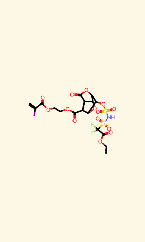 C=C(I)C(=O)OCCOC(=O)C1C2OC3C(OC(=O)C31)C2OS(=O)(=O)NS(=O)(=O)C(F)(F)C(=O)OCC